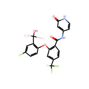 BC(B)(O)c1cc(F)ccc1Oc1cc(C(F)(F)F)ccc1C(=O)Nc1cc[nH]c(=O)c1